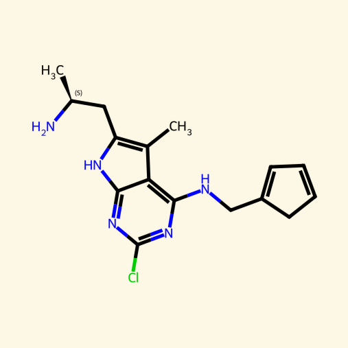 Cc1c(C[C@H](C)N)[nH]c2nc(Cl)nc(NCC3=CC=CC3)c12